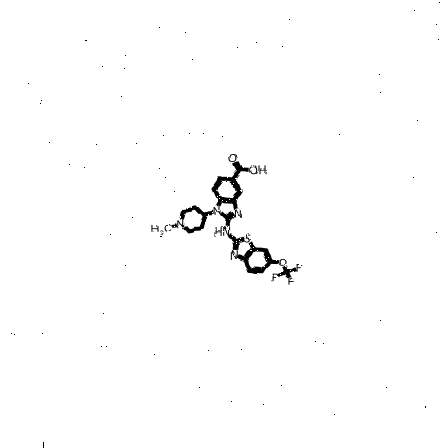 CN1CCC(n2c(Nc3nc4ccc(OC(F)(F)F)cc4s3)nc3cc(C(=O)O)ccc32)CC1